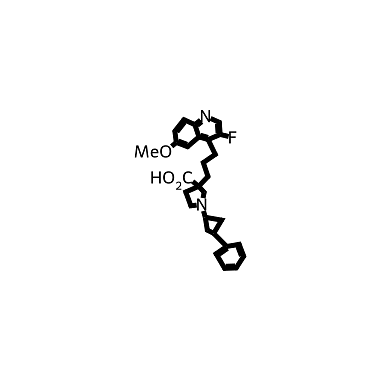 COc1ccc2ncc(F)c(CCCC3(C(=O)O)CCN(C4CC(c5ccccc5)C4)C3)c2c1